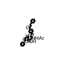 CC(=O)N[C@@H]1[C@H](Oc2ccc(C(=O)/C=C/c3ccccc3)cc2)O[C@@H]2CO[C@H](c3ccccc3)O[C@@H]2[C@H]1O